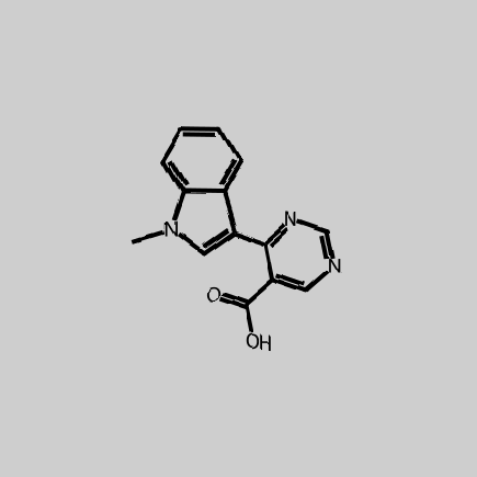 Cn1cc(-c2ncncc2C(=O)O)c2ccccc21